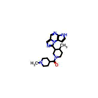 CC1CCN(C(=O)C2CCN(C)CC2)CC1c1ncc2cnc3[nH]ccc3n12